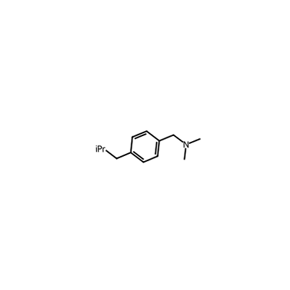 CC(C)Cc1ccc(CN(C)C)cc1